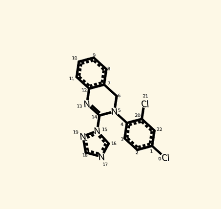 Clc1ccc(N2Cc3ccccc3N=C2n2cncn2)c(Cl)c1